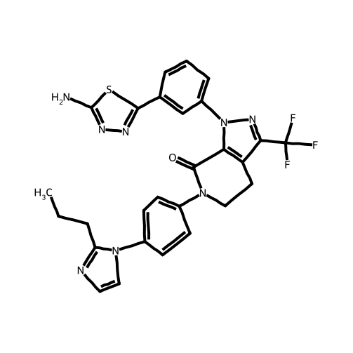 CCCc1nccn1-c1ccc(N2CCc3c(C(F)(F)F)nn(-c4cccc(-c5nnc(N)s5)c4)c3C2=O)cc1